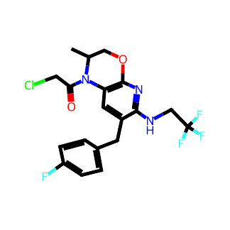 CC1COc2nc(NCC(F)(F)F)c(Cc3ccc(F)cc3)cc2N1C(=O)CCl